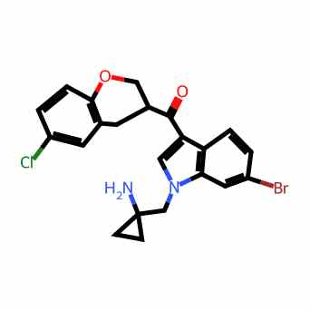 NC1(Cn2cc(C(=O)C3COc4ccc(Cl)cc4C3)c3ccc(Br)cc32)CC1